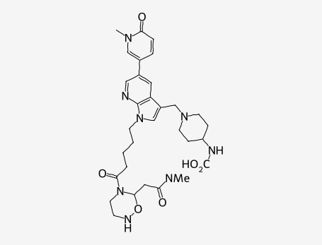 CNC(=O)CC1ONCCN1C(=O)CCCCn1cc(CN2CCC(NC(=O)O)CC2)c2cc(-c3ccc(=O)n(C)c3)cnc21